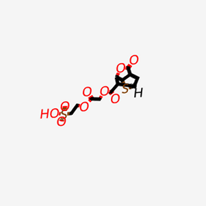 O=C(COC(=O)C1C2OC(=O)C3C[C@@H]1SC32)OCCS(=O)(=O)O